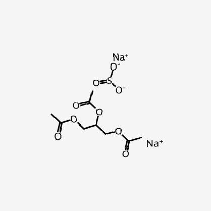 CC(=O)OCC(COC(C)=O)OC(C)=O.O=S([O-])[O-].[Na+].[Na+]